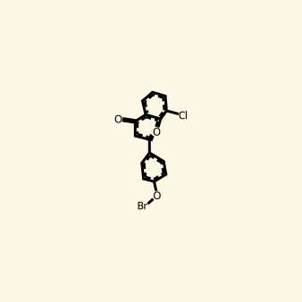 O=c1cc(-c2ccc(OBr)cc2)oc2c(Cl)cccc12